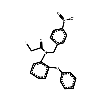 O=C(CF)N(Cc1ccc([N+](=O)[O-])cc1)c1ccccc1Oc1ccccc1